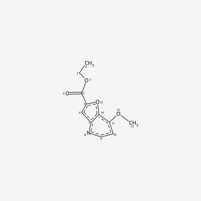 CCOC(=O)c1cc2nccc(OC)c2o1